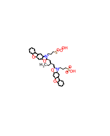 CCC(/C=C1\Oc2cc3oc4ccccc4c3cc2N1CCCS(=O)(=O)O)=C\c1oc2cc3oc4ccccc4c3cc2[n+]1CCCSOOO